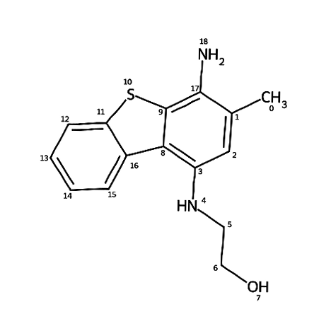 Cc1cc(NCCO)c2c(sc3ccccc32)c1N